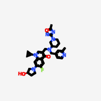 Cc1cc(CN(Cc2cn(C3CC3)c3cc(N4CC[C@@H](O)C4)c(F)cc3c2=O)C2CCCN(c3noc(C)n3)C2)ccn1